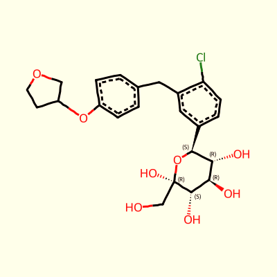 OC[C@@]1(O)O[C@@H](c2ccc(Cl)c(Cc3ccc(OC4CCOC4)cc3)c2)[C@H](O)[C@@H](O)[C@@H]1O